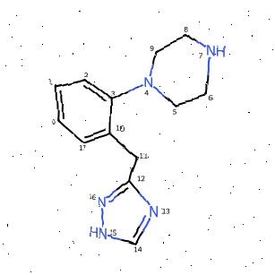 c1ccc(N2CCNCC2)c(Cc2nc[nH]n2)c1